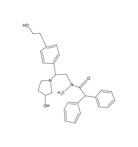 CN(CC(c1ccc(CCO)cc1)N1CCC(O)C1)C(=O)C(c1ccccc1)c1ccccc1